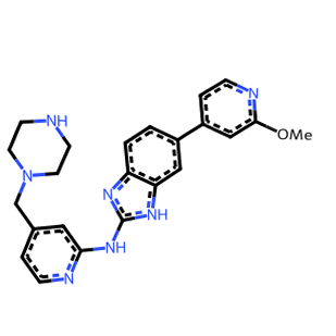 COc1cc(-c2ccc3nc(Nc4cc(CN5CCNCC5)ccn4)[nH]c3c2)ccn1